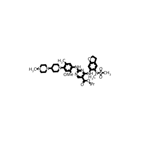 COc1cc(N2CCC(N3CCN(C)CC3)CC2)c(C)cc1Nc1ncc(C(=O)OC(C)C)c(Nc2cc3c(cc2N(C)S(C)(=O)=O)CCO3)n1